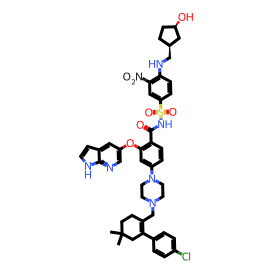 CC1(C)CCC(CN2CCN(c3ccc(C(=O)NS(=O)(=O)c4ccc(NC[C@H]5CC[C@@H](O)C5)c([N+](=O)[O-])c4)c(Oc4cnc5[nH]ccc5c4)c3)CC2)=C(c2ccc(Cl)cc2)C1